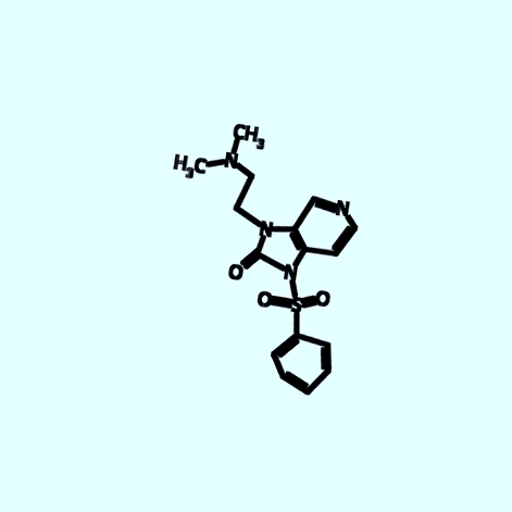 CN(C)CCn1c(=O)n(S(=O)(=O)c2ccccc2)c2ccncc21